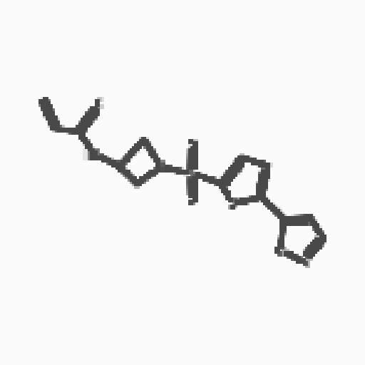 C=CC(=O)NC1CN(S(=O)(=O)c2ccc(-c3ccno3)o2)C1